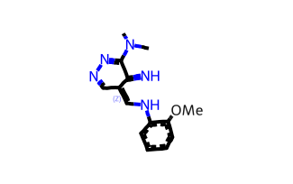 COc1ccccc1N/C=C1/C=NN=C(N(C)C)C1=N